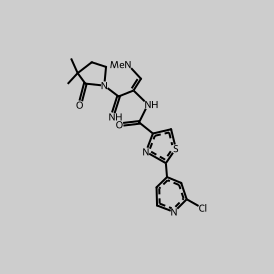 CN/C=C(/NC(=O)c1csc(-c2ccnc(Cl)c2)n1)C(=N)N1CCC(C)(C)C1=O